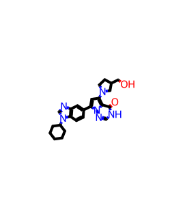 O=c1[nH]cnn2c(-c3ccc4c(c3)ncn4C3CCCCC3)cc(N3CCC(CO)C3)c12